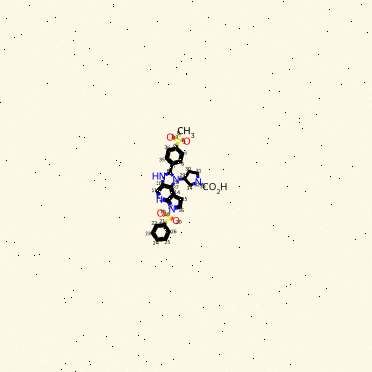 CS(=O)(=O)c1ccc(C2Nc3cnc4c(ccn4S(=O)(=O)c4ccccc4)c3N2C2CCN(C(=O)O)C2)cc1